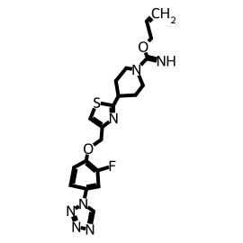 C=CCOC(=N)N1CCC(c2nc(COc3ccc(-n4cnnn4)cc3F)cs2)CC1